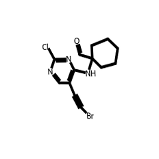 O=CC1(Nc2nc(Cl)ncc2C#CBr)CCCCC1